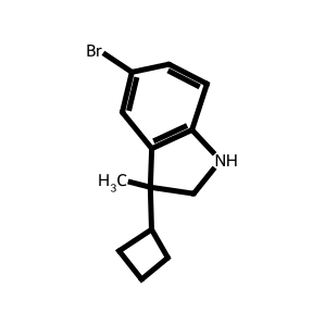 CC1(C2CCC2)CNc2ccc(Br)cc21